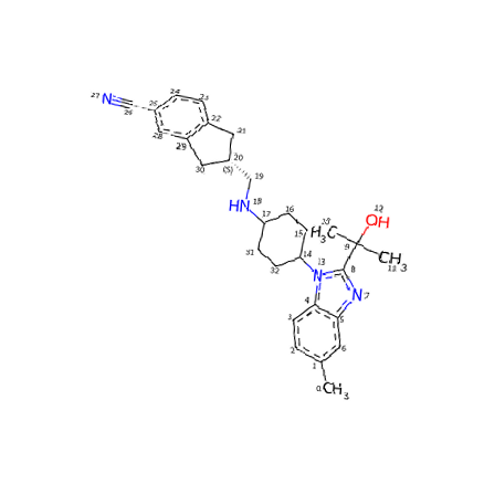 Cc1ccc2c(c1)nc(C(C)(C)O)n2C1CCC(NC[C@H]2Cc3ccc(C#N)cc3C2)CC1